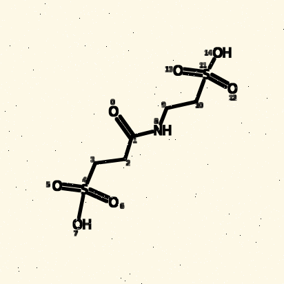 O=C(CCS(=O)(=O)O)NCCS(=O)(=O)O